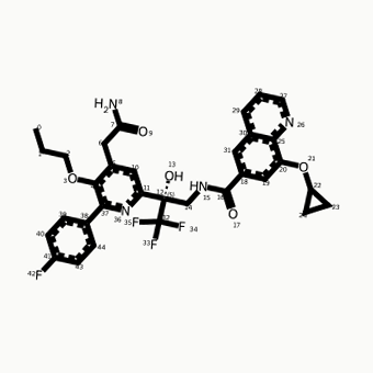 CCCOc1c(CC(N)=O)cc([C@@](O)(CNC(=O)c2cc(OC3CC3)c3ncccc3c2)C(F)(F)F)nc1-c1ccc(F)cc1